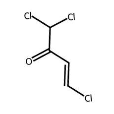 O=C(C=CCl)C(Cl)Cl